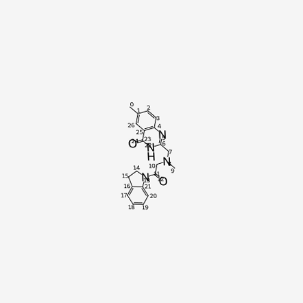 Cc1ccc2nc(CN(C)CC(=O)N3CCc4ccccc43)[nH]c(=O)c2c1